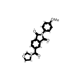 COc1ccc(N2C(=O)c3ccc(C(=O)N4CCOC4)cc3C2=O)cc1